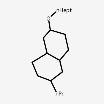 CCCCCCCOC1CCC2CC(CCC)CCC2C1